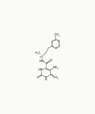 C=C1NC(=O)NC(C(=O)N[C@H](C)CCc2cccc(C)c2)=C1N